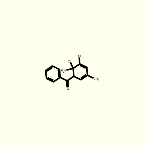 CC1=CC(C(=O)c2ccccc2)C(N)(Cl)C(C)=C1